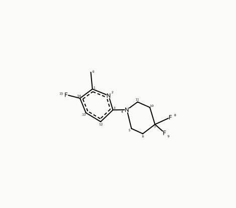 Cc1nc(N2CCC(F)(F)CC2)ccc1F